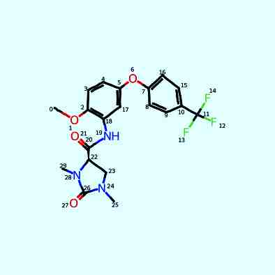 COc1ccc(Oc2ccc(C(F)(F)F)cc2)cc1NC(=O)[C@H]1CN(C)C(=O)N1C